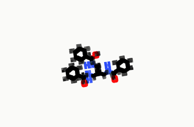 O=C(NC[SiH](CNC(=O)c1ccccc1)CNC(=O)c1ccccc1)c1ccccc1